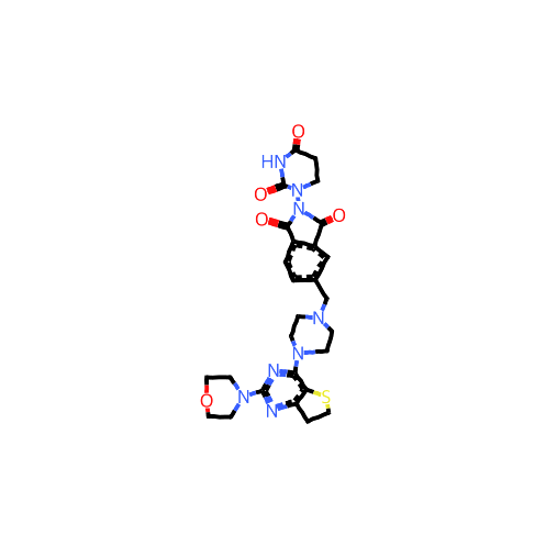 O=C1CCN(N2C(=O)c3ccc(CN4CCN(c5nc(N6CCOCC6)nc6c5SCC6)CC4)cc3C2=O)C(=O)N1